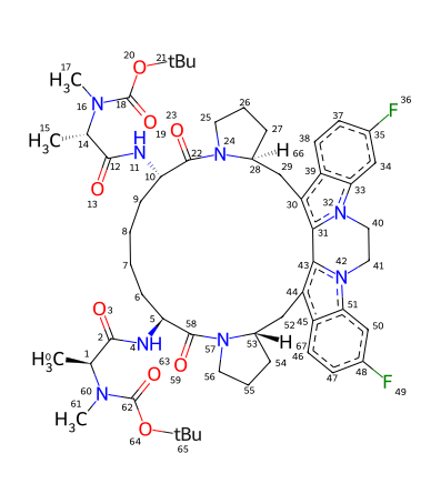 C[C@@H](C(=O)N[C@H]1CCCC[C@H](NC(=O)[C@H](C)N(C)C(=O)OC(C)(C)C)C(=O)N2CCC[C@H]2Cc2c3n(c4cc(F)ccc24)CCn2c-3c(c3ccc(F)cc32)C[C@@H]2CCCN2C1=O)N(C)C(=O)OC(C)(C)C